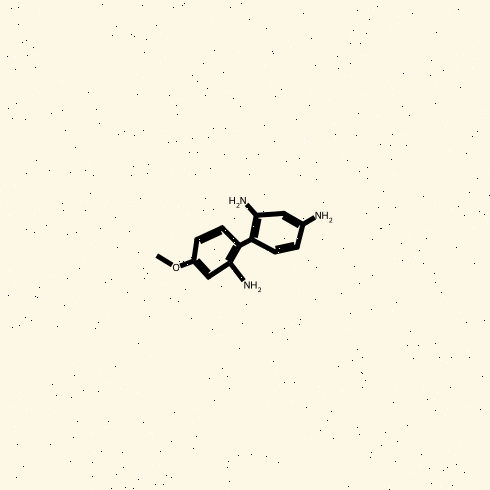 COc1ccc(-c2ccc(N)cc2N)c(N)c1